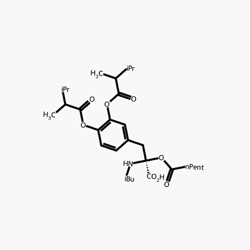 CCCCCC(=O)O[C@](Cc1ccc(OC(=O)C(C)C(C)C)c(OC(=O)C(C)C(C)C)c1)(NC(C)CC)C(=O)O